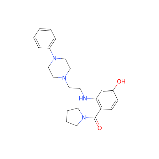 O=C(c1ccc(O)cc1NCCN1CCN(c2ccccc2)CC1)N1CCCC1